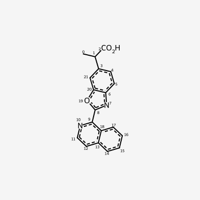 CC(C(=O)O)c1ccc2nc(-c3nccc4ccccc34)oc2c1